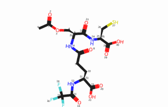 CC(=O)OC[C@H](NC(=O)CC[C@H](NC(=O)C(F)(F)F)C(=O)O)C(=O)N[C@@H](CS)C(=O)O